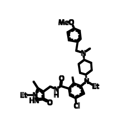 CCn1[nH]c(=O)c(CNC(=O)c2cc(Cl)cc(N(CC)[C@H]3CC[C@H](N(C)Cc4ccc(OC)cc4)CC3)c2C)c1C